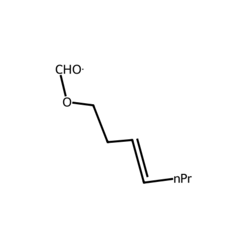 CCCC=CCCO[C]=O